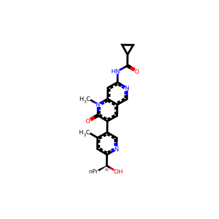 CCC[C@H](O)c1cc(C)c(-c2cc3cnc(NC(=O)C4CC4)cc3n(C)c2=O)cn1